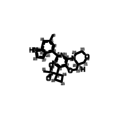 Cc1cc(-c2nc3c(c(C4(S(C)(=O)=O)CCC4)n2)OC[C@@H]2COCCN32)c2cc[nH]c2c1